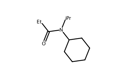 CCC(=O)N(C(C)C)C1CCCCC1